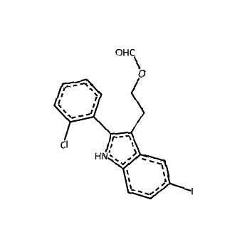 O=COCCc1c(-c2ccccc2Cl)[nH]c2ccc(I)cc12